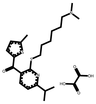 Cc1ccc(C(=O)c2ccc(C(C)C)nc2SCCCCCCN(C)C)s1.O=C(O)C(=O)O